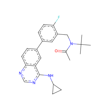 CC(=O)N(Cc1cc(-c2ccc3ncnc(NC4CC4)c3c2)ccc1F)C(C)(C)C